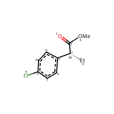 CC[C@@H](C(=O)OC)c1ccc(Cl)cc1